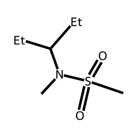 CCC(CC)N(C)S(C)(=O)=O